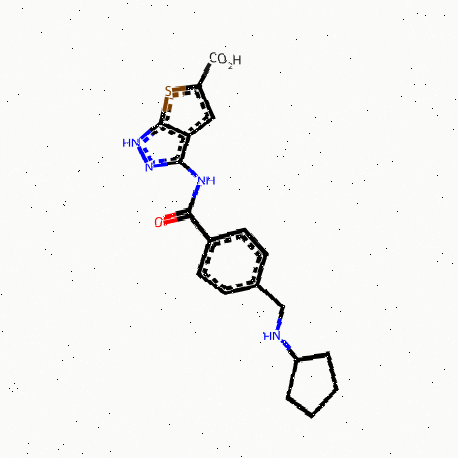 O=C(Nc1n[nH]c2sc(C(=O)O)cc12)c1ccc(CNC2CCCC2)cc1